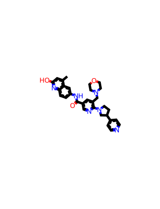 Cc1cc(O)nc2ccc(NC(=O)c3cnc(N4CCC(c5ccncc5)C4)c(CN4CCOCC4)c3)cc12